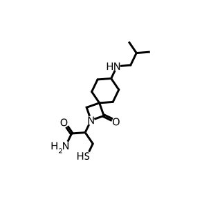 CC(C)CNC1CCC2(CC1)CN(C(CS)C(N)=O)C2=O